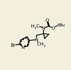 CN(CC1(N(C)C(=O)OC(C)(C)C)CC1)c1ccc(Br)nc1